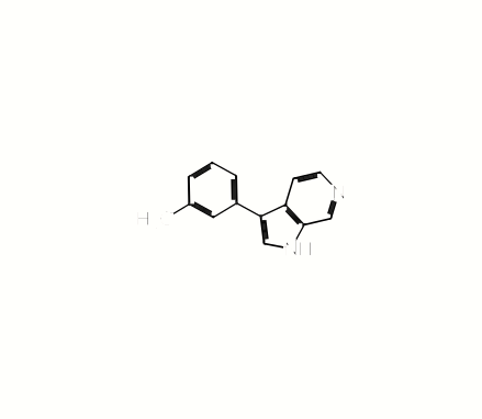 Cc1cccc(-c2c[nH]c3cnccc23)c1